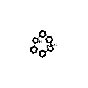 CC[C@@]1(c2ccccc2)CC[C@@H](c2ccccc2)P1.c1ccc([C@@H]2CC[C@@H](c3ccccc3)P2)cc1